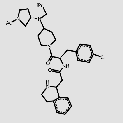 CC(=O)N1CC[C@H](N(CC(C)C)C2CCN(C(=O)[C@@H](Cc3ccc(Cl)cc3)NC(=O)CC3NCCc4ccccc43)CC2)C1